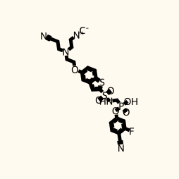 [C-]#[N+]CCN(CCC#N)CCOc1ccc2sc(S(=O)(=O)NCP(=O)(O)Oc3ccc(C#N)c(F)c3)cc2c1